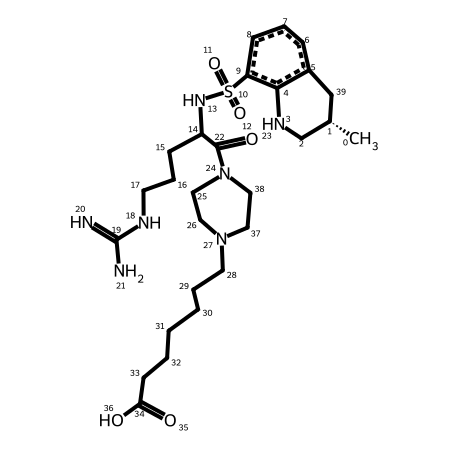 C[C@@H]1CNc2c(cccc2S(=O)(=O)NC(CCCNC(=N)N)C(=O)N2CCN(CCCCCCC(=O)O)CC2)C1